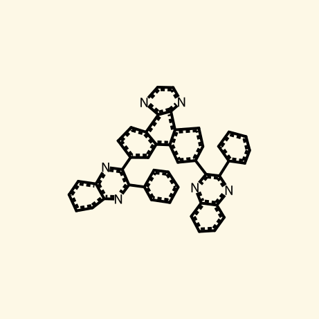 c1ccc(-c2nc3ccccc3nc2-c2ccc3c(c2)c2cc(-c4nc5ccccc5nc4-c4ccccc4)ccc2c2nccnc32)cc1